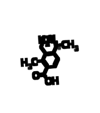 CCc1c([C@H](C)N)ccc(C(=O)O)c1C